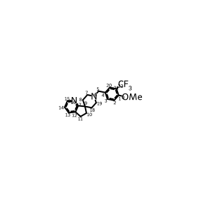 COc1ccc(CN2CCC3(CCc4cccnc43)CC2)cc1C(F)(F)F